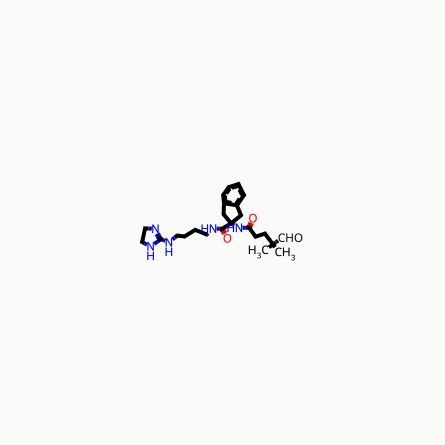 CC(C)(C=O)CCC(=O)NC1(C(=O)NCCCCNC2=NCCN2)Cc2ccccc2C1